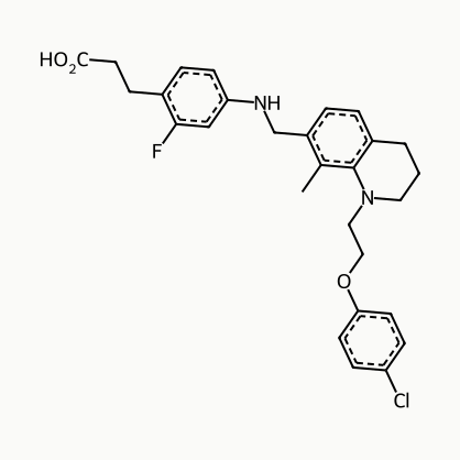 Cc1c(CNc2ccc(CCC(=O)O)c(F)c2)ccc2c1N(CCOc1ccc(Cl)cc1)CCC2